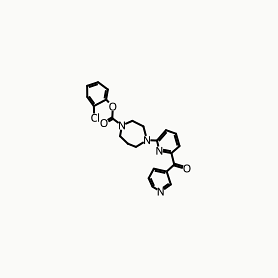 O=C(c1cccnc1)c1cccc(N2CCCN(C(=O)Oc3ccccc3Cl)CC2)n1